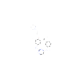 C=Cc1cccc(Nc2nc(Nc3ccc(OCCN4CCCC4)c(Br)c3)ncc2Cl)c1